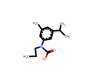 CCCN(C(=O)O)c1cc(C)cc(C(C)C)c1